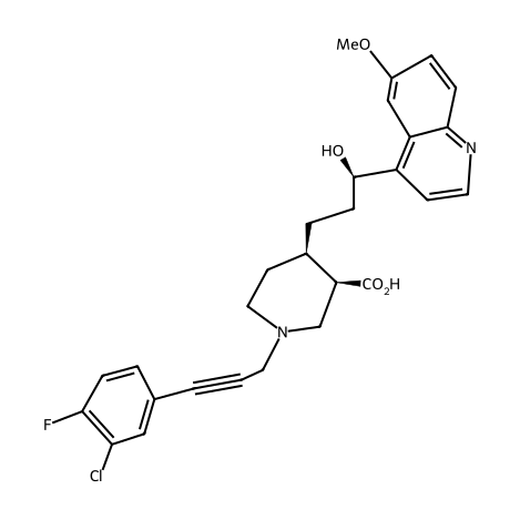 COc1ccc2nccc([C@H](O)CC[C@@H]3CCN(CC#Cc4ccc(F)c(Cl)c4)C[C@@H]3C(=O)O)c2c1